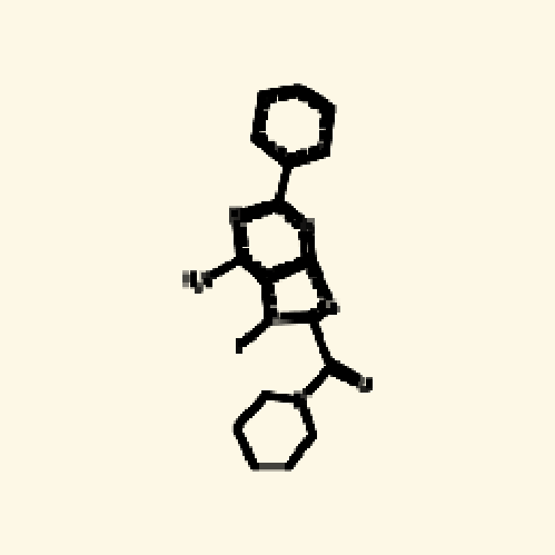 Nc1nc(-c2ccccc2)nc2sc(C(=O)N3CCCCC3)c(I)c12